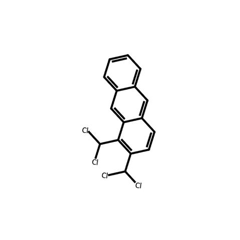 ClC(Cl)c1ccc2cc3ccccc3cc2c1C(Cl)Cl